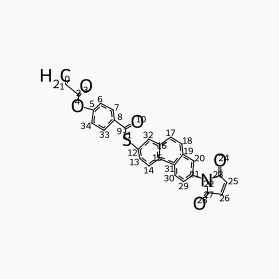 C=CC(=O)Oc1ccc(C(=O)Sc2ccc3c(ccc4cc(N5C(=O)C=CC5=O)ccc43)c2)cc1